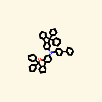 c1ccc(-c2ccc(N(c3ccc4c(c3)OC(c3ccccc3)(c3ccccc3)c3ccccc3-4)c3ccc4c(c3)C(c3ccccc3)(c3ccccc3)c3ccccc3-4)cc2)cc1